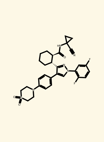 N#CC1(NC(=O)[C@@H]2CCCC[C@H]2c2nn(-c3cc(F)ccc3F)cc2-c2ccc(N3CCS(=O)(=O)CC3)cc2)CC1